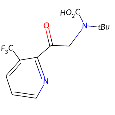 CC(C)(C)N(CC(=O)c1ncccc1C(F)(F)F)C(=O)O